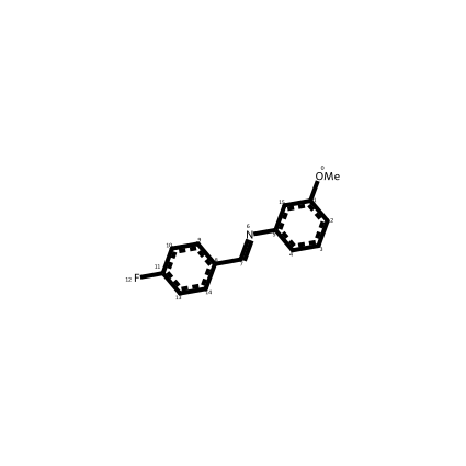 COc1cccc(/N=C/c2ccc(F)cc2)c1